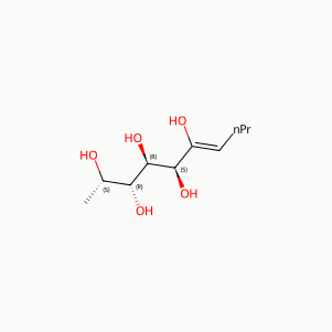 CCCC=C(O)[C@@H](O)[C@H](O)[C@H](O)[C@H](C)O